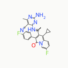 Cc1nc(N)nc(N[C@@H](C)c2c(-c3ccc(F)cc3)c(=O)n3cc(F)ccc3c2C2CC2)c1C#N